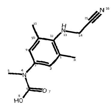 Cc1cc(N(C)C(=O)O)cc(C)c1NCC#N